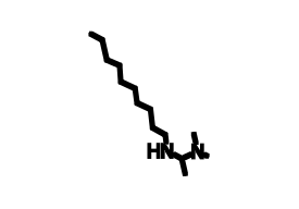 CCCCCCCCCCNC(C)N(C)C